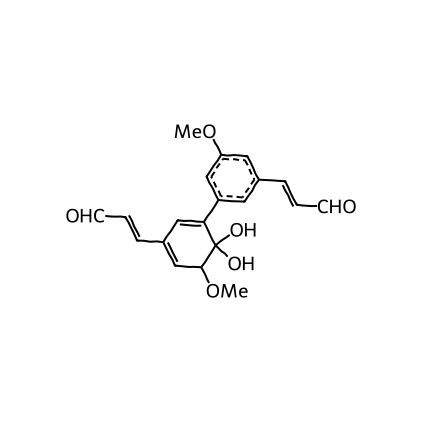 COc1cc(C=CC=O)cc(C2=CC(C=CC=O)=CC(OC)C2(O)O)c1